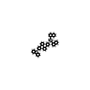 c1ccc(-c2ccccc2-c2ccc(-n3c4ccccc4c4ccccc43)cc2)c(-c2ccc(-n3nc(-c4cccc5ccccc45)nc3-c3cccc4ccccc34)cc2)c1